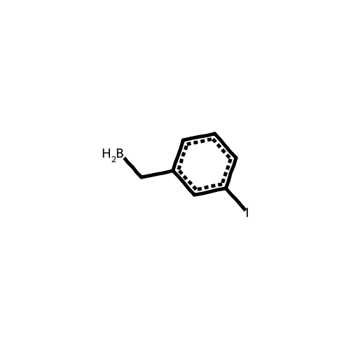 BCc1cccc(I)c1